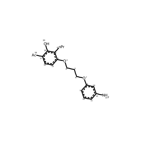 CCCc1c(OCCCOc2cccc(N)c2)ccc(C(C)=O)c1O